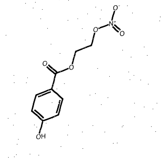 O=C(OCCO[N+](=O)[O-])c1ccc(O)cc1